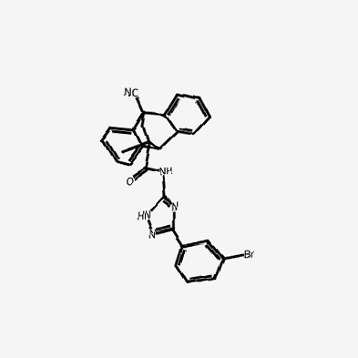 CC1(C(=O)Nc2nc(-c3cccc(Br)c3)n[nH]2)CC2(C#N)c3ccccc3C1c1ccccc12